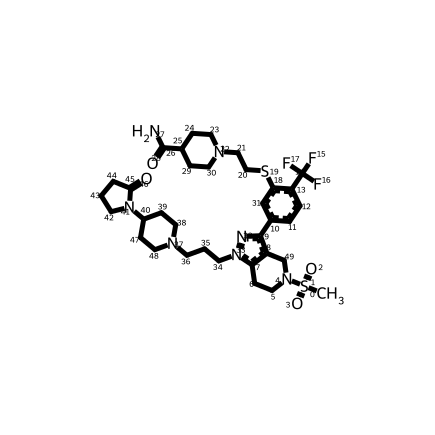 CS(=O)(=O)N1CCc2c(c(-c3ccc(C(F)(F)F)c(SCCN4CCC(C(N)=O)CC4)c3)nn2CCCN2CCC(N3CCCC3=O)CC2)C1